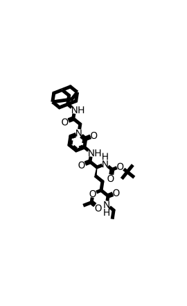 CCNC(=O)C(CC[C@H](NC(=O)OC(C)(C)C)C(=O)Nc1cccn(CC(=O)NC23CC4CC(CC(C4)C2)C3)c1=O)OC(C)=O